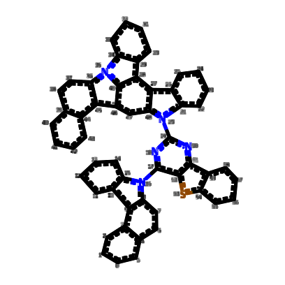 c1ccc2c(c1)ccc1c2c2ccccc2n1-c1nc(-n2c3ccccc3c3c4c5ccccc5n5c6ccc7ccccc7c6c(cc32)c45)nc2c1sc1ccccc12